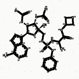 CCC(=O)O[C@H]1[C@H](c2ccc3c(N)ncnn23)O[C@](C#N)(COP(=O)(NC(C)C(=O)OC2COC2)Oc2ccccc2)[C@H]1OC(=O)CC